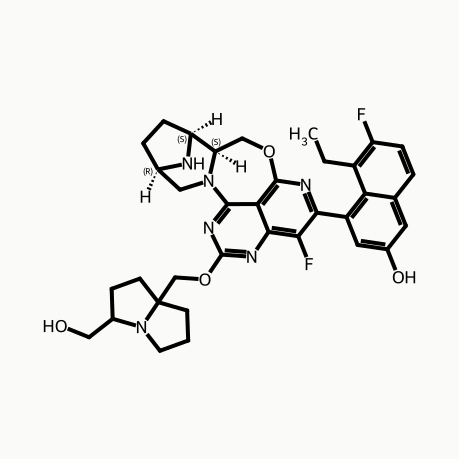 CCc1c(F)ccc2cc(O)cc(-c3nc4c5c(nc(OCC67CCCN6C(CO)CC7)nc5c3F)N3C[C@H]5CC[C@H](N5)[C@H]3CO4)c12